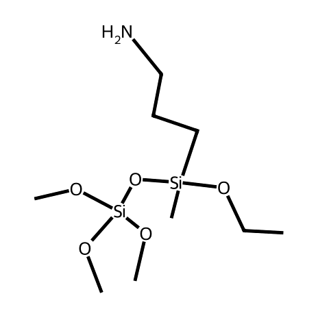 CCO[Si](C)(CCCN)O[Si](OC)(OC)OC